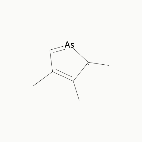 C[C]1[As]=CC(C)=C1C